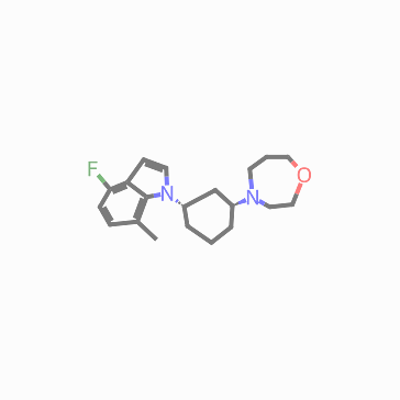 Cc1ccc(F)c2ccn([C@H]3CCC[C@H](N4CCCOCC4)C3)c12